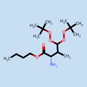 CCCCOC(=O)[C@@H](N)C(C)C(OOC(C)(C)C)OOC(C)(C)C